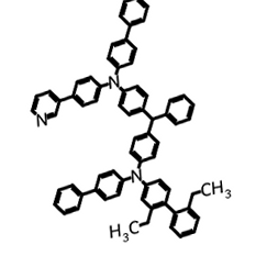 CCc1ccccc1-c1ccc(N(c2ccc(-c3ccccc3)cc2)c2ccc(C(c3ccccc3)c3ccc(N(c4ccc(-c5ccccc5)cc4)c4ccc(-c5cccnc5)cc4)cc3)cc2)cc1CC